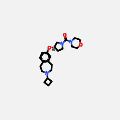 O=C(N1CCOCC1)N1CC[C@H](Oc2ccc3c(c2)CCN(C2CCC2)CC3)C1